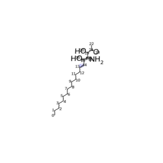 CCCCCCCCCCCCC/C=C/[C@@H](O)[C@@H](N)C(O)C(C)=O